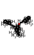 CC(C)(O)CON1C(C)(C)CC(O)C(N2C(Cl)=NC(NCCCCC3CC(C)(C)N(OC4CCCCC4)C(C)(C)C3)=NC2NCCCCC2CC(C)(C)N(OC3CCCCC3)C(C)(C)C2)C1(C)C